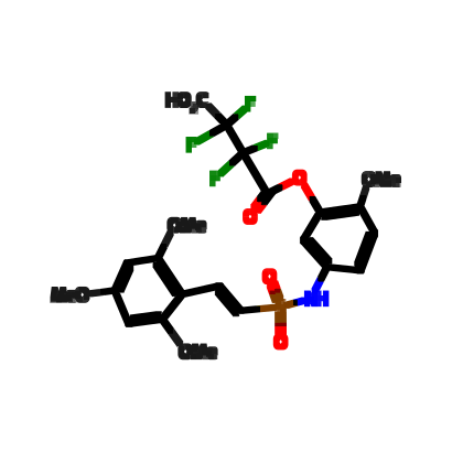 COc1cc(OC)c(C=CS(=O)(=O)Nc2ccc(OC)c(OC(=O)C(F)(F)C(F)(F)C(=O)O)c2)c(OC)c1